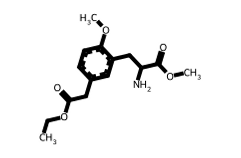 CCOC(=O)Cc1ccc(OC)c(CC(N)C(=O)OC)c1